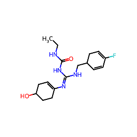 CCNC(=O)N/C(=N\C1=CCC(O)CC1)NCC1C=CC(F)=CC1